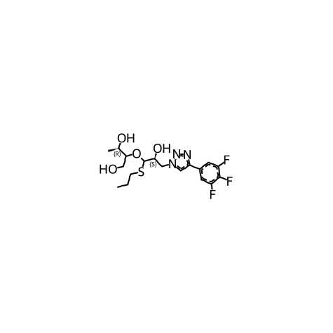 CCCSC(OC(CO)[C@@H](C)O)[C@@H](O)Cn1cc(-c2cc(F)c(F)c(F)c2)nn1